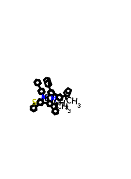 CCC1(c2ccc3c(c2)c2cc(C45CC6CC(CC(C6)C4)C5)cc4c2n3-c2c3c(cc5c2C(C)(C)c2ccccc2-5)-c2cc5c(cc2N(c2ccc(-c6ccccc6)cc2)B34)sc2ccccc25)CC2CCC(C2)C1